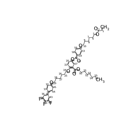 C=CC(=O)OCCCCCCOc1ccc(C(=O)Oc2ccc(OCCCCCCOc3ccc(-c4cc(F)c(F)c(F)c4)cc3)c(C(=O)OCCCCCCC)c2)cc1